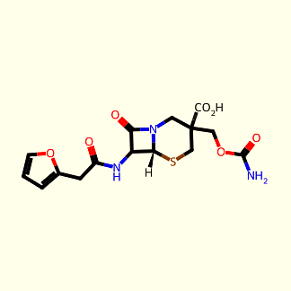 NC(=O)OCC1(C(=O)O)CS[C@@H]2C(NC(=O)Cc3ccco3)C(=O)N2C1